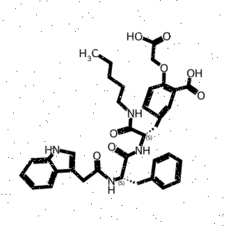 CCCCCNC(=O)[C@H](Cc1ccc(OCC(=O)O)c(C(=O)O)c1)NC(=O)[C@H](Cc1ccccc1)NC(=O)Cc1c[nH]c2ccccc12